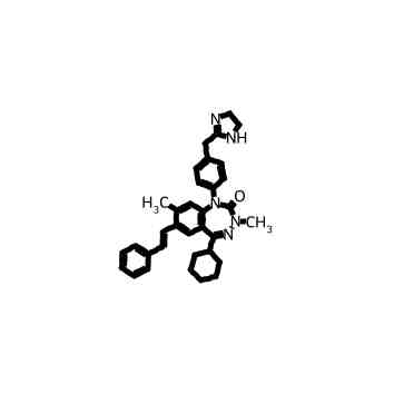 Cc1cc2c(cc1/C=C/c1ccccc1)C(C1CCCCC1)=NN(C)C(=O)N2c1ccc(CC2=NCCN2)cc1